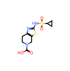 O=C(O)N1CCc2nc(NS(=O)(=O)C3CC3)sc2C1